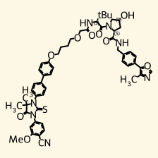 COc1cc(N2C(=O)C(C)(C)N(c3ccc(-c4ccc(OCCCCOCC(=O)N[C@H](C(=O)N5C[C@H](O)C[C@H]5C(=O)NCc5ccc(-c6ocnc6C)cc5)C(C)(C)C)cc4)cc3)C2=S)ccc1C#N